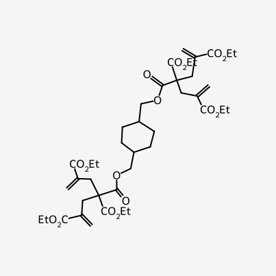 C=C(CC(CC(=C)C(=O)OCC)(C(=O)OCC)C(=O)OCC1CCC(COC(=O)C(CC(=C)C(=O)OCC)(CC(=C)C(=O)OCC)C(=O)OCC)CC1)C(=O)OCC